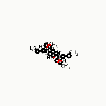 Cc1cccc(-c2cc(F)c(N(c3c(C)cccc3C)c3ccc4ccc5c(N(c6c(C)cccc6C)c6c(F)cc(-c7cccc(C)c7)cc6-c6cccc(C)c6)ccc6ccc3c4c65)c(-c3cccc(C)c3)c2)c1